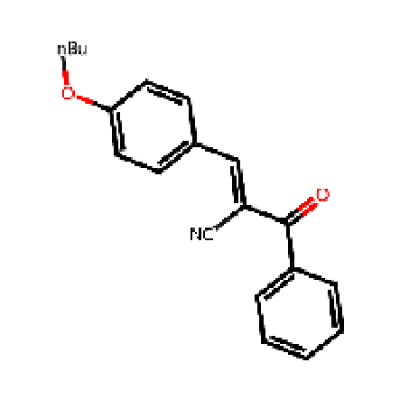 CCCCOc1ccc(/C=C(\C#N)C(=O)c2ccccc2)cc1